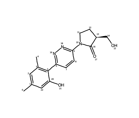 Cc1cc(C)c(-c2ccc(N3CC[C@@H](CO)C3=O)nn2)c(O)c1